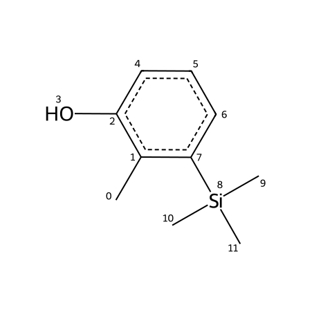 Cc1c(O)cccc1[Si](C)(C)C